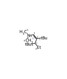 CCC(/C(=C\N(C)C)C(C)(C)C)C(C)(C)C